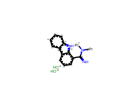 CC(C)N(C(=N)c1cccc2c1[nH]c1ccccc12)C(C)C.Cl.Cl